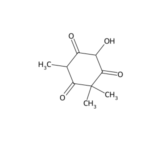 CC1C(=O)C(O)C(=O)C(C)(C)C1=O